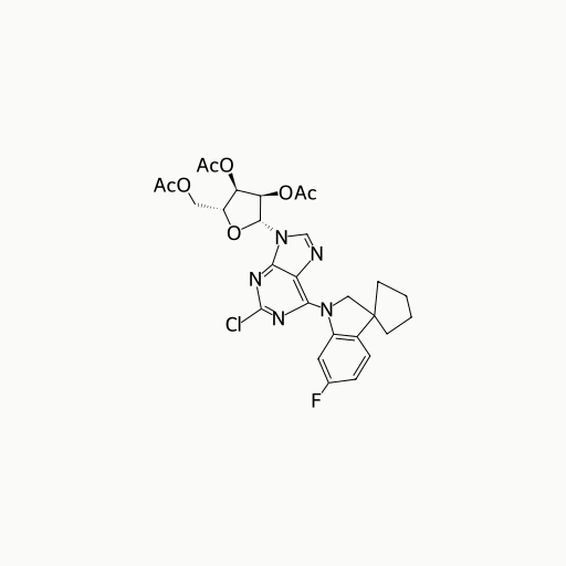 CC(=O)OC[C@H]1O[C@@H](n2cnc3c(N4CC5(CCCC5)c5ccc(F)cc54)nc(Cl)nc32)[C@H](OC(C)=O)[C@@H]1OC(C)=O